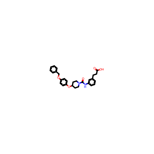 O=C(O)CCc1cccc(NC(=O)N2CCC(Oc3ccc(OCc4ccccc4)cc3)CC2)c1